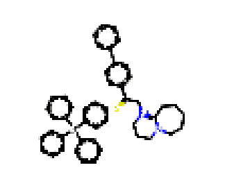 S=C(C[N+]1=C2CCCCCN2CCC1)c1ccc(-c2ccccc2)cc1.c1ccc([B-](c2ccccc2)(c2ccccc2)c2ccccc2)cc1